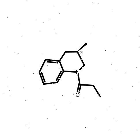 CCC(=O)N1C[C@H](C)Cc2ccccc21